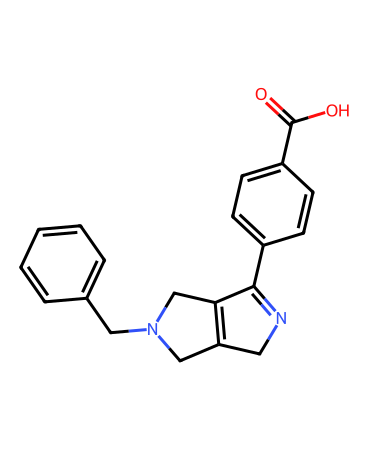 O=C(O)c1ccc(C2=NCC3=C2CN(Cc2ccccc2)C3)cc1